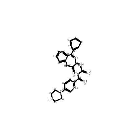 N=C(NC1N=C(c2ccccc2)c2ccccc2NC1=O)OC(=N)c1ccc(N2CCOCC2)cn1